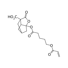 C=CC(=O)OCCCCC(=O)OC12CC3CC1C(C(=O)O)(C3)C(=O)O2